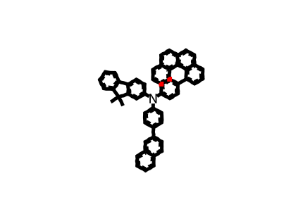 CC1(C)c2ccccc2-c2ccc(N(c3ccc(-c4ccc5ccccc5c4)cc3)c3ccc(-c4cccc5ccc6ccc7ccccc7c6c45)cc3)cc21